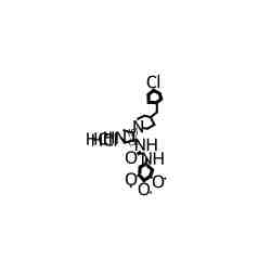 COc1cc(NC(=O)N[C@H]2CNC[C@@H]2N2CCC(Cc3ccc(Cl)cc3)CC2)cc(OC)c1OC.Cl.Cl